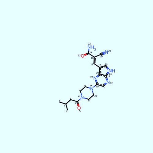 CC(C)CC(=O)N1CCN(c2cnc3[nH]cc(/C=C(\C#N)C(N)=O)c3n2)CC1